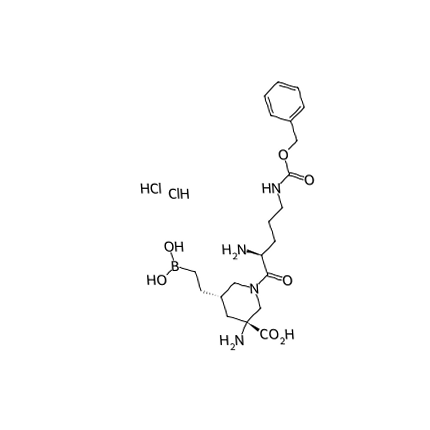 Cl.Cl.N[C@@H](CCCNC(=O)OCc1ccccc1)C(=O)N1C[C@@H](CCB(O)O)C[C@](N)(C(=O)O)C1